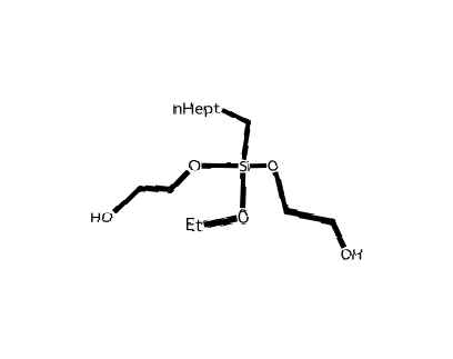 CCCCCCCC[Si](OCC)(OCCO)OCCO